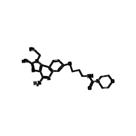 CCCc1nc2c(N)nc3cc(OCCCNC(=O)N4CCOCC4)ccc3c2n1CC(C)C